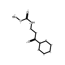 CC(C)(C)OC(=O)NCCC(=O)C1CCCCC1